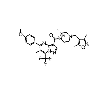 COc1ccc(-c2nc3c(C(=O)N4CCN(Cc5c(C)noc5C)C[C@H]4C)cnn3c(C(F)(F)F)c2C)cc1